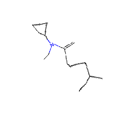 C=C(CCC(C)C)N(C)C1CC1